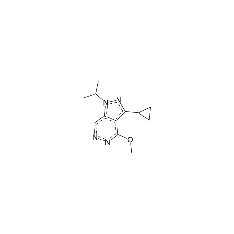 COc1nncc2c1c(C1CC1)nn2C(C)C